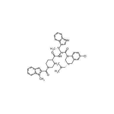 C[C@H](c1c[nH]c2ccccc12)[C@H](NC(=O)C1CCN(C(=O)c2cc3ccccc3n2C)CC1)C(=O)N1C[C@@H](CN(C)C)Cc2cc(Cl)ccc21